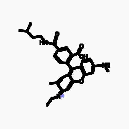 CC/N=c1/cc2oc3cc(NC)ccc3c(-c3ccc(C(=O)NCCC(C)C)cc3C(=O)O)c-2cc1C